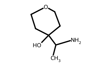 CC(N)C1(O)CCOCC1